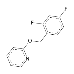 Fc1ccc(COc2ccccn2)c(F)c1